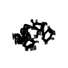 Cc1cc(C)c(-c2ccccc2)c(C)c1C(=O)OP(O)(O)(O)c1ccccc1